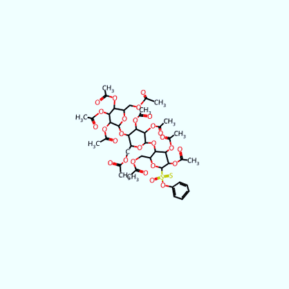 CC(=O)OCC1OC(OC2C(COC(C)=O)OC(OC3C(COC(C)=O)OC(S(=O)(=S)Oc4ccccc4)C(OC(C)=O)C3OC(C)=O)C(OC(C)=O)C2OC(C)=O)C(OC(C)=O)C(OC(C)=O)C1OC(C)=O